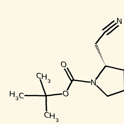 CC(C)(C)OC(=O)N1CCC[C@H]1CC#N